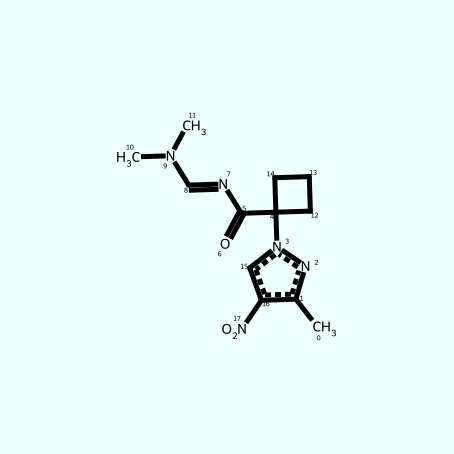 Cc1nn(C2(C(=O)N=CN(C)C)CCC2)cc1[N+](=O)[O-]